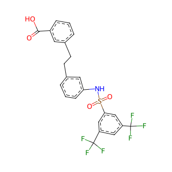 O=C(O)c1cccc(CCc2cccc(NS(=O)(=O)c3cc(C(F)(F)F)cc(C(F)(F)F)c3)c2)c1